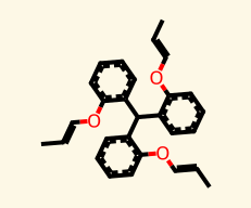 CC=COc1ccccc1C(c1ccccc1OC=CC)c1ccccc1OC=CC